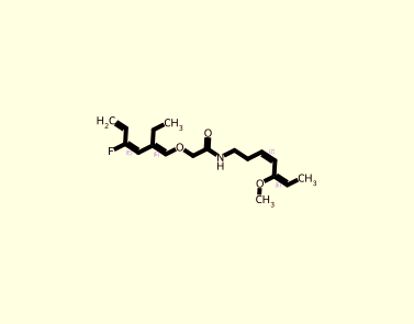 C=C/C(F)=C\C(=C\OCC(=O)NCC/C=C\C(=C/C)OC)CC